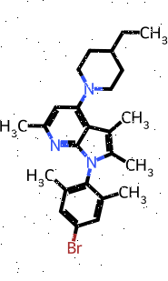 CCC1CCN(c2cc(C)nc3c2c(C)c(C)n3-c2c(C)cc(Br)cc2C)CC1